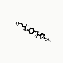 Cn1ccc(C(=O)NC2CCC(NC(=O)CCN)CC2)n1